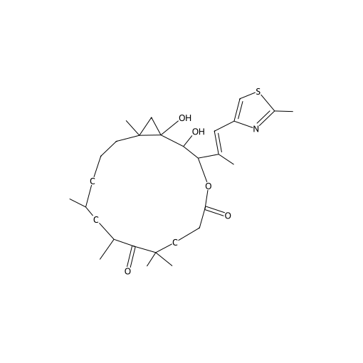 CC(=Cc1csc(C)n1)C1OC(=O)CCC(C)(C)C(=O)C(C)CC(C)CCCC2(C)CC2(O)C1O